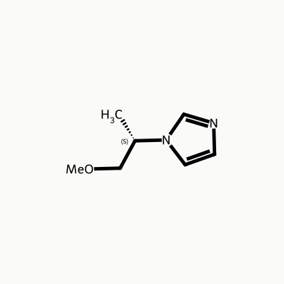 COC[C@H](C)n1ccnc1